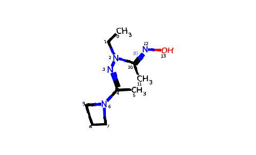 CCN(N=C(C)N1CCC1)/C(C)=N/O